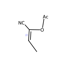 C/C=C(/C#N)OC(C)=O